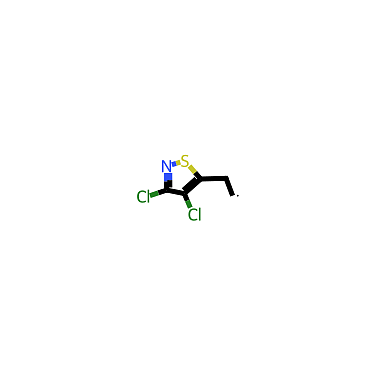 [CH2]Cc1snc(Cl)c1Cl